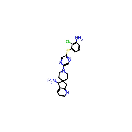 Nc1cccc(Sc2cnc(N3CCC4(CC3)Cc3ncccc3C4N)cn2)c1Cl